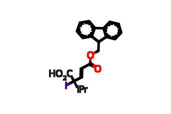 CC(C)[C@](I)(/C=C/C(=O)OCC1c2ccccc2-c2ccccc21)C(=O)O